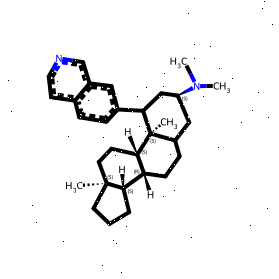 CN(C)[C@H]1CC2CC[C@@H]3[C@@H]4CCC[C@@]4(C)CC[C@@H]3[C@@]2(C)C(c2ccc3ccncc3c2)C1